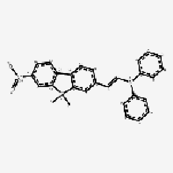 C[Si]1(C)c2cc(/C=C/N(c3ccccc3)c3ccccc3)ccc2-c2ccc([N+](=O)[O-])cc21